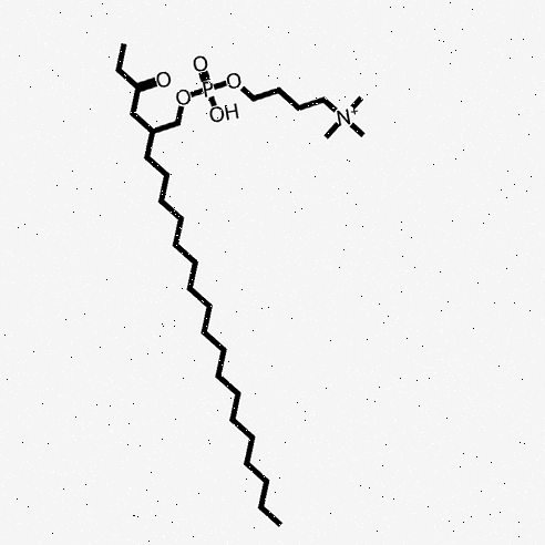 CCCCCCCCCCCCCCCCCCC(COP(=O)(O)OCCCC[N+](C)(C)C)CC(=O)CC